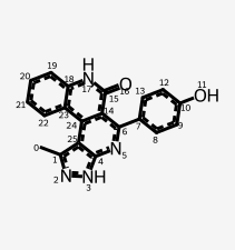 Cc1n[nH]c2nc(-c3ccc(O)cc3)c3c(=O)[nH]c4ccccc4c3c12